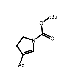 CC(=O)C1=CN(C(=O)OC(C)(C)C)CC1